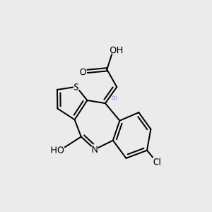 O=C(O)/C=C1/c2ccc(Cl)cc2N=C(O)c2ccsc21